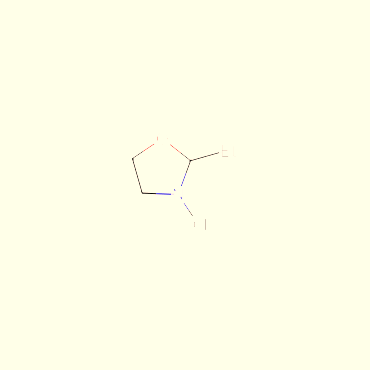 CCC1OCCN1C(F)(F)F